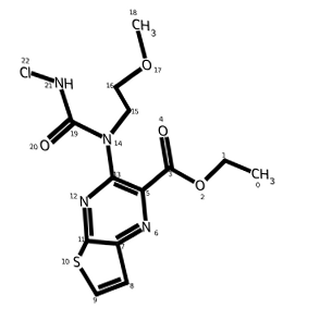 CCOC(=O)c1nc2ccsc2nc1N(CCOC)C(=O)NCl